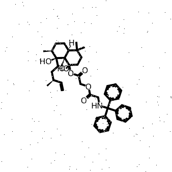 C=C[C@@H](C)CC(=O)[C@]1(O)[C@@H](C)CC[C@H]2C(C)(C)CC[C@](O)(OC(=O)COC(=O)CNC(c3ccccc3)(c3ccccc3)c3ccccc3)[C@@]21C